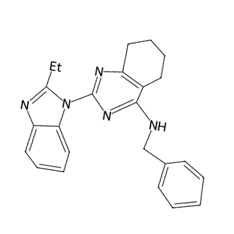 CCc1nc2ccccc2n1-c1nc2c(c(NCc3ccccc3)n1)CCCC2